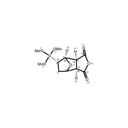 CO[Si](OC)(OC)[C@H]1CC2O[C@@H]1[C@H]1C(=O)OC(=O)[C@@H]21